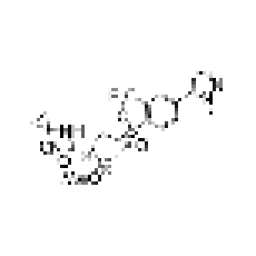 CO[C@@H]1C[C@H](S(=O)(=O)c2ccc(-c3ccnn3C)cc2C(F)(F)F)C[C@H]1C(=O)NC1(C#N)CC1